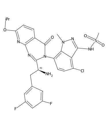 CC(C)Oc1ccc2c(=O)n(-c3ccc(Cl)c4c(NS(C)(=O)=O)nn(C)c34)c([C@@H](N)Cc3cc(F)cc(F)c3)nc2n1